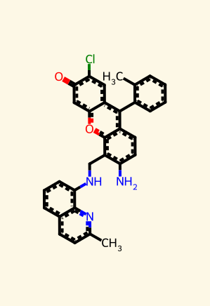 Cc1ccc2cccc(NCc3c(N)ccc4c(-c5ccccc5C)c5cc(Cl)c(=O)cc-5oc34)c2n1